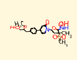 COC(CO)Cc1ccc(-c2ccn(CCC(C)(C(=O)NO)S(C)(=O)=O)c(=O)c2)cc1